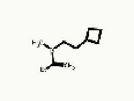 C=C(CC)N(C)CCC1CCC1